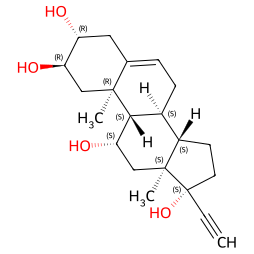 C#C[C@]1(O)CC[C@H]2[C@@H]3CC=C4C[C@@H](O)[C@H](O)C[C@]4(C)[C@H]3[C@@H](O)C[C@@]21C